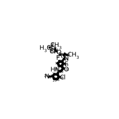 Cc1cn(COCC[Si](C)(C)C)c(-c2c(F)cc3[nH]c(-c4cc(C#N)ccc4Cl)cc(=O)c3c2F)n1